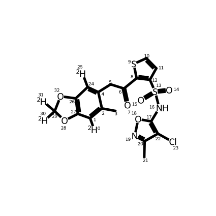 [2H]c1c(C)c(CC(=O)c2sccc2S(=O)(=O)Nc2onc(C)c2Cl)c([2H])c2c1OC([2H])([2H])O2